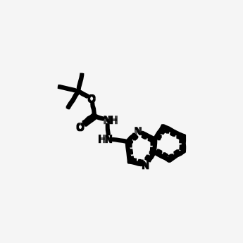 CC(C)(C)OC(=O)NNc1cnc2ccccc2n1